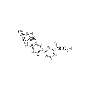 CN(C(=O)O)c1cccc(-c2ccc(CC3SC(=O)NC3=O)cc2)c1